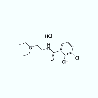 CCN(CC)CCNC(=O)c1cccc(Cl)c1O.Cl